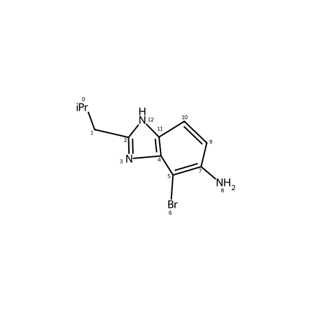 CC(C)Cc1nc2c(Br)c(N)ccc2[nH]1